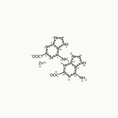 Nc1nc(C(=O)[O-])nc2nc[nH]c12.Nc1nc(C(=O)[O-])nc2nc[nH]c12.[Zn+2]